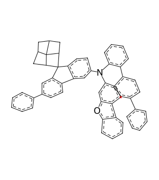 c1ccc(-c2ccc(-c3ccccc3N(c3ccc4c(c3)-c3ccc(-c5ccccc5)cc3C43C4CC5CC6CC3C564)c3ccc4c(c3)oc3ccccc34)cc2)cc1